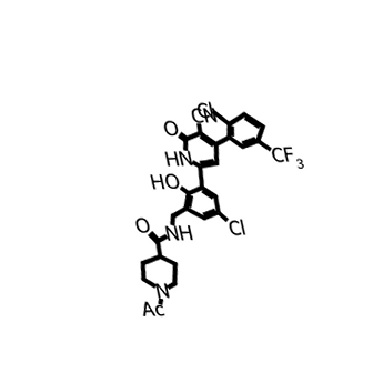 CC(=O)N1CCC(C(=O)NCc2cc(Cl)cc(-c3cc(-c4cc(C(F)(F)F)ccc4Cl)c(C#N)c(=O)[nH]3)c2O)CC1